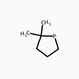 CC1(C)CCC[P]1